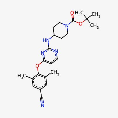 Cc1cc(C#N)cc(C)c1Oc1ccnc(NC2CCN(C(=O)OC(C)(C)C)CC2)n1